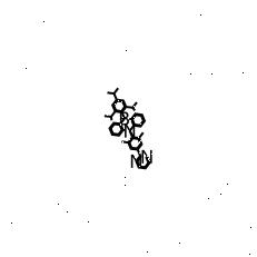 Cc1cc(-c2ncccn2)cc(C)c1N1c2ccccc2B(c2c(C(C)C)cc(C(C)C)cc2C(C)C)c2ccccc21